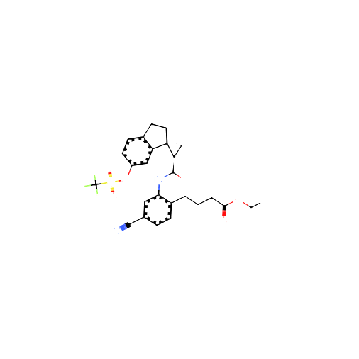 CCOC(=O)CCCc1ccc(C#N)cc1NC(O)[C@@H]1C[C@]12CCc1ccc(OS(=O)(=O)C(F)(F)F)cc12